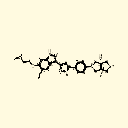 COCCOc1cc2[nH]nc(-c3cc(-c4ccc(N5C[C@H]6CSC[C@@]6(C)C5)cc4)no3)c2cc1F